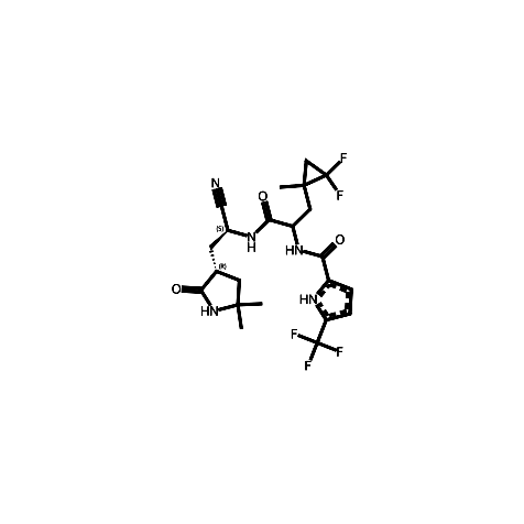 CC1(C)C[C@@H](C[C@@H](C#N)NC(=O)C(CC2(C)CC2(F)F)NC(=O)c2ccc(C(F)(F)F)[nH]2)C(=O)N1